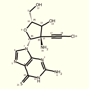 Nc1nc2c(ncn2[C@@H]2O[C@H](CO)C(O)[C@]2(N)C#CCl)c(=S)[nH]1